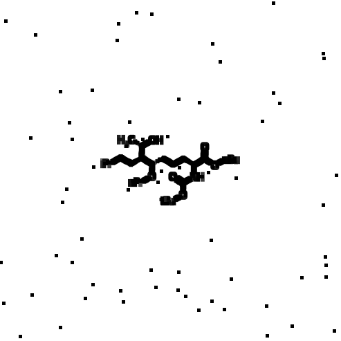 CCCCOC(=O)[C@H](CCC[C@H](OCCC)[C@@H](CCC(C)C)[C@H](C)O)NC(=O)OC(C)(C)C